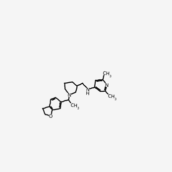 Cc1cc(NCC2CCCN(C(C)c3ccc4c(c3)OCC4)C2)cc(C)n1